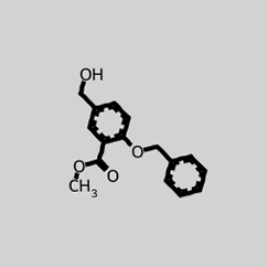 COC(=O)c1cc(CO)ccc1OCc1ccccc1